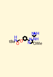 COc1cnc(-c2cccc(OCC(=O)NC(C)(C)C)c2)nc1Nc1cn[nH]c1